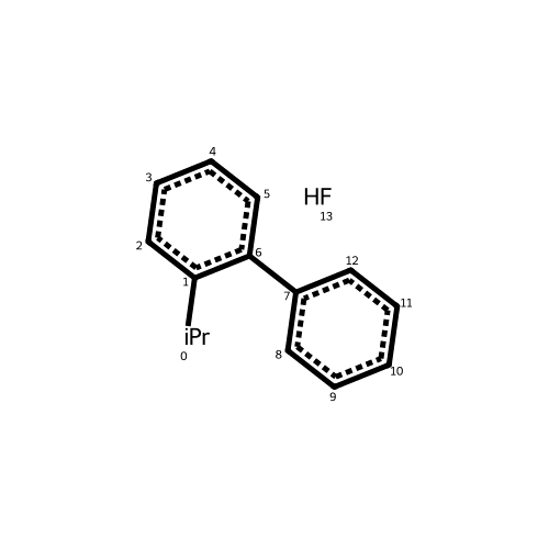 CC(C)c1ccccc1-c1ccccc1.F